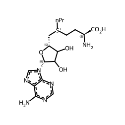 CCC[S+](CC[C@H](N)C(=O)O)C[C@H]1O[C@@H](n2cnc3c(N)ncnc32)C(O)C1O